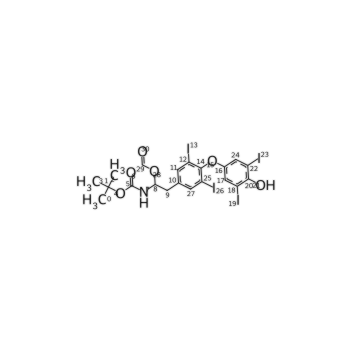 CC(C)(C)OC(=O)NC(Cc1cc(I)c(Oc2cc(I)c(O)c(I)c2)c(I)c1)OC=O